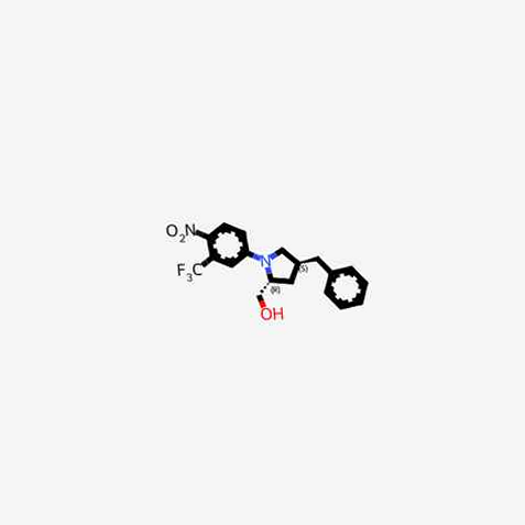 O=[N+]([O-])c1ccc(N2C[C@@H](Cc3ccccc3)C[C@@H]2CO)cc1C(F)(F)F